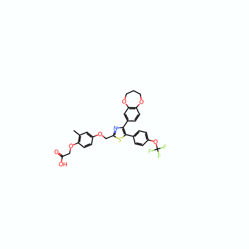 Cc1cc(OCc2nc(-c3ccc4c(c3)OCCCO4)c(-c3ccc(OC(F)(F)F)cc3)s2)ccc1OCC(=O)O